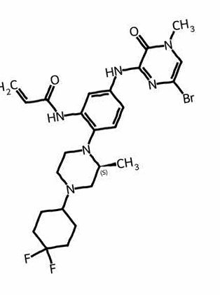 C=CC(=O)Nc1cc(Nc2nc(Br)cn(C)c2=O)ccc1N1CCN(C2CCC(F)(F)CC2)C[C@@H]1C